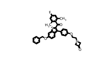 Cc1cc(F)cc(C)c1C(=O)c1sc2cc(OCc3ccccc3)ccc2c1-c1ccc(OCCN2CC(=O)C2)cc1